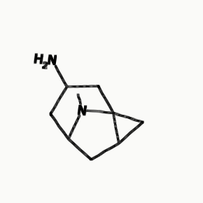 CN1C2CC(N)CC13CC3C2